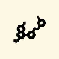 Nc1nc(-c2cccc(OCc3cccc(F)c3)c2)c2cc(Cl)ccc2n1